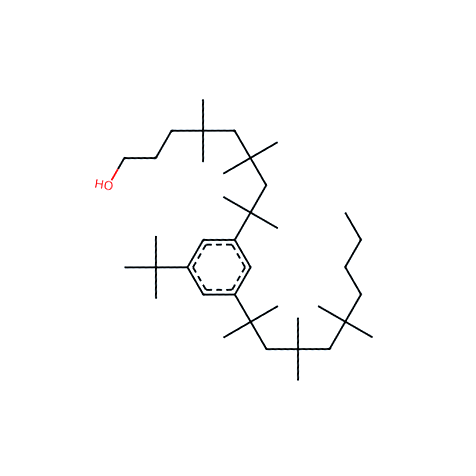 CCCCC(C)(C)CC(C)(C)CC(C)(C)c1cc(C(C)(C)C)cc(C(C)(C)CC(C)(C)CC(C)(C)CCCO)c1